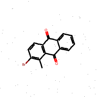 Cc1c(Br)ccc2c1C(=O)c1ccccc1C2=O